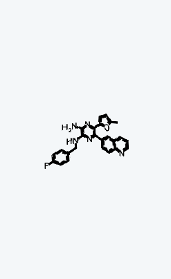 Cc1ccc(-c2nc(N)c(NCc3ccc(F)cc3)nc2-c2ccc3ncccc3c2)o1